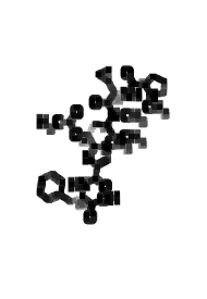 CC(=O)O[C@H](C[C@H](C(C)C)N(C)C(=O)[C@@H](NC(=O)[C@H]1CCCN1C)C1CC1)c1nc(C(=O)N[C@@H](Cc2ccccc2)C(=O)O)cs1